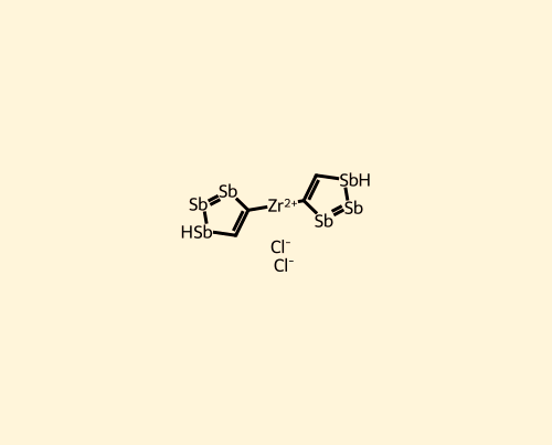 [CH]1=[C]([Zr+2][C]2=[CH][SbH][Sb]=[Sb]2)[Sb]=[Sb][SbH]1.[Cl-].[Cl-]